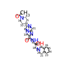 CC(=O)N1CCC(c2cn3cc(C(=O)NC[C@H](O)CN4CCc5ccccc5C4)nc3cn2)CC1